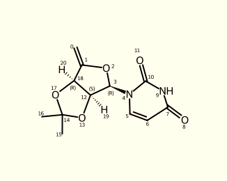 C=C1O[C@@H](n2ccc(=O)[nH]c2=O)[C@H]2OC(C)(C)O[C@@H]12